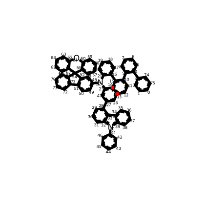 c1ccc(-c2ccccc2-c2ccccc2-c2ccccc2N(c2cccc(-c3cccc4c3c3ccccc3n4-c3ccccc3)c2)c2ccc3c(c2)C2(c4ccccc4Oc4ccccc42)c2ccccc2-3)cc1